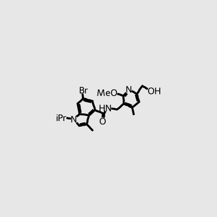 COc1nc(CO)cc(C)c1CNC(=O)c1cc(Br)cc2c1c(C)cn2C(C)C